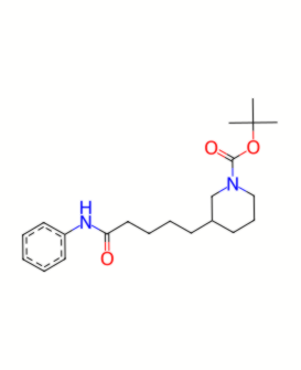 CC(C)(C)OC(=O)N1CCCC(CCCCC(=O)Nc2ccccc2)C1